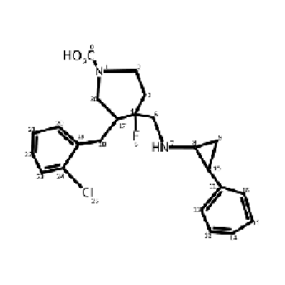 O=C(O)N1CCC(F)(CNC2CC2c2ccccc2)C(Cc2ccccc2Cl)C1